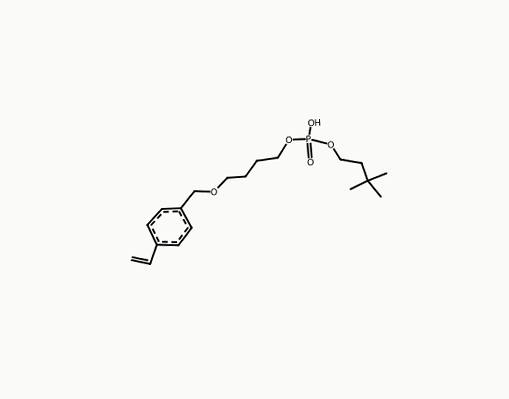 C=Cc1ccc(COCCCCOP(=O)(O)OCCC(C)(C)C)cc1